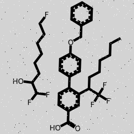 CCCCCCC(c1cc(C(=O)O)ccc1-c1ccc(OCc2ccccc2)cc1)C(F)(F)F.OC(CCCCCCF)C(F)F